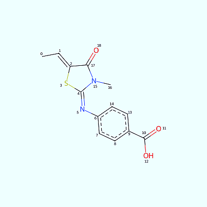 C/C=C1\S/C(=N/c2ccc(C(=O)O)cc2)N(C)C1=O